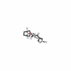 CC(C)n1cc(C(=O)NC[C@@H]2C[C@H]3CC[C@@H](C2)N3CC(=O)NC(C)(C)C)cn1